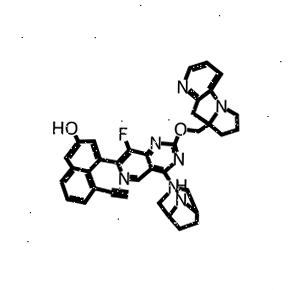 C#Cc1cccc2cc(O)cc(-c3ncc4c(N5CC6CCC(C5)N6)nc(OCC56CCCN5c5cccnc5C6)nc4c3F)c12